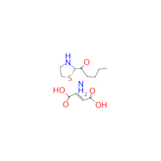 CC[C@H](C)[C@H](N)C(=O)C1NCCS1.O=C(O)/C=C/C(=O)O